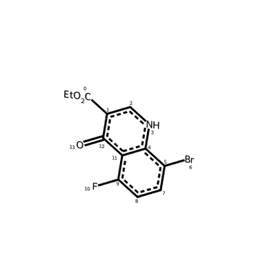 CCOC(=O)c1c[nH]c2c(Br)ccc(F)c2c1=O